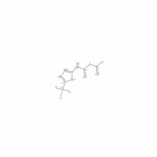 CC(=O)CC(=O)Nc1nnc(C(C)(C)C)s1